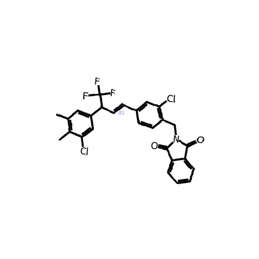 Cc1cc(C(/C=C/c2ccc(CN3C(=O)c4ccccc4C3=O)c(Cl)c2)C(F)(F)F)cc(Cl)c1C